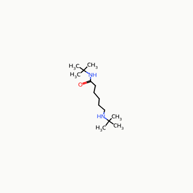 CC(C)(C)NCCCCCC(=O)NC(C)(C)C